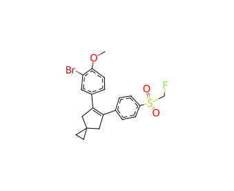 COc1ccc(C2=C(c3ccc(S(=O)(=O)CF)cc3)CC3(CC3)C2)cc1Br